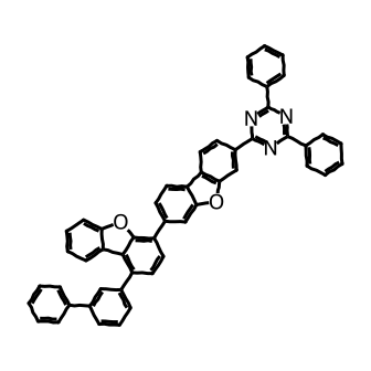 c1ccc(-c2cccc(-c3ccc(-c4ccc5c(c4)oc4cc(-c6nc(-c7ccccc7)nc(-c7ccccc7)n6)ccc45)c4oc5ccccc5c34)c2)cc1